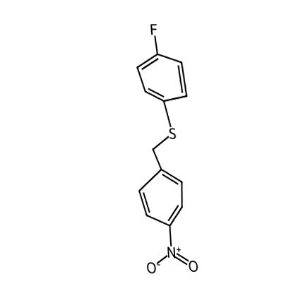 O=[N+]([O-])c1ccc(CSc2ccc(F)cc2)cc1